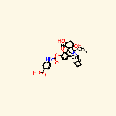 Cc1ccc(OC(=O)Nc2ccc(C(=O)O)cc2)c2c1[C@]13CCN(CC4CCC4)[C@H](C)[C@]1(O)CC[C@H](O)[C@@H]3O2